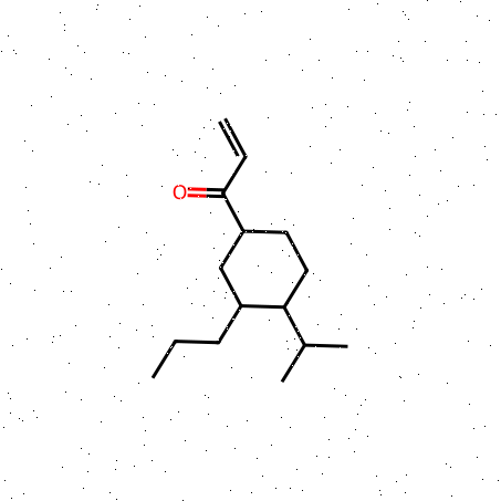 C=CC(=O)C1CCC(C(C)C)C(CCC)C1